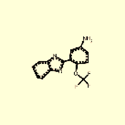 Nc1ccc(OC(F)(F)F)c(-c2nc3ccccc3o2)c1